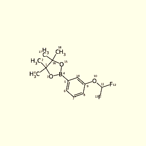 CC1(C)OB(c2c[c]cc(OC(F)F)c2)OC1(C)C